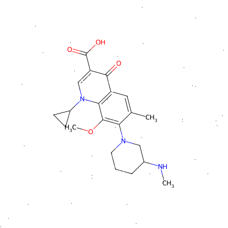 CNC1CCCN(c2c(C)cc3c(=O)c(C(=O)O)cn(C4CC4)c3c2OC)C1